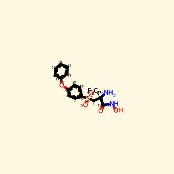 N[C@](CS(=O)(=O)c1ccc(Oc2ccccc2)cc1)(C(=O)NO)C(F)(F)F